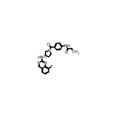 C=CC(=O)Nc1ccc(C(=O)N2CC[C@H](Nc3ncc4cccc(F)c4n3)C2)cc1